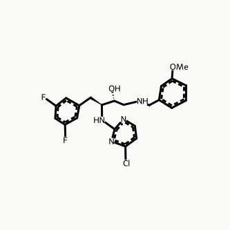 COc1cccc(CNC[C@@H](O)[C@H](Cc2cc(F)cc(F)c2)Nc2nccc(Cl)n2)c1